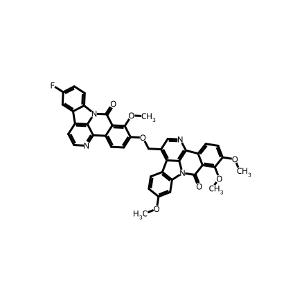 COc1ccc2c3c(COc4ccc5c(c4OC)c(=O)n4c6ccc(F)cc6c6ccnc5c64)cnc4c5ccc(OC)c(OC)c5c(=O)n(c2c1)c43